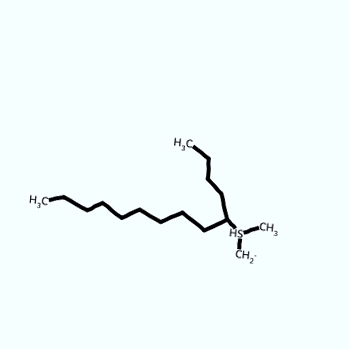 [CH2][SH](C)C(CCCC)CCCCCCCCC